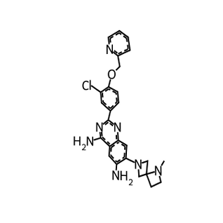 CN1CCC12CN(c1cc3nc(-c4ccc(OCc5ccccn5)c(Cl)c4)nc(N)c3cc1N)C2